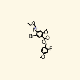 CCN(C)/C=N/c1cc(OC)c(C(=O)OCc2ccc(OC)cc2F)cc1Br